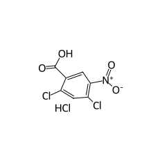 Cl.O=C(O)c1cc([N+](=O)[O-])c(Cl)cc1Cl